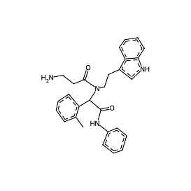 Cc1ccccc1C(C(=O)Nc1ccccc1)N(CCc1c[nH]c2ccccc12)C(=O)CCN